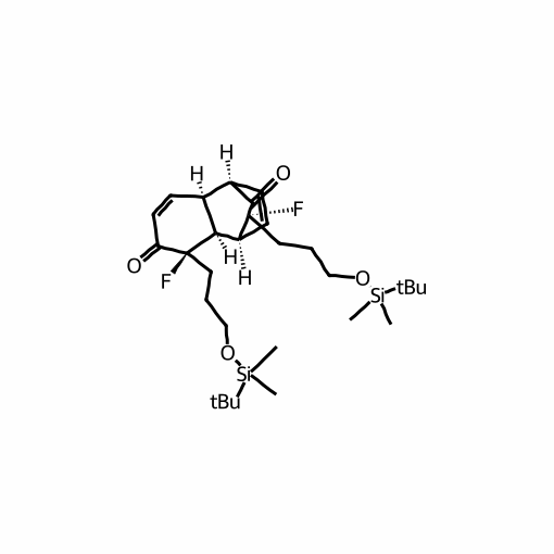 CC(C)(C)[Si](C)(C)OCCC[C@]1(F)C(=O)C=C[C@@H]2[C@H]1[C@@H]1C=C[C@H]2C(=O)[C@@]1(F)CCCO[Si](C)(C)C(C)(C)C